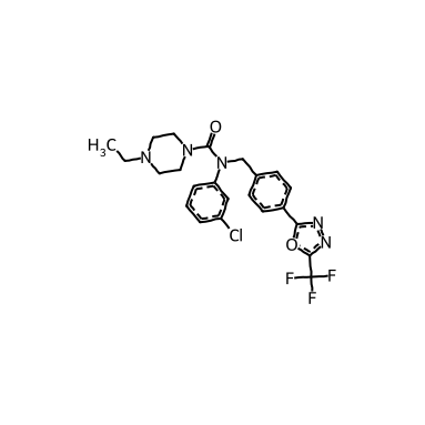 CCN1CCN(C(=O)N(Cc2ccc(-c3nnc(C(F)(F)F)o3)cc2)c2cccc(Cl)c2)CC1